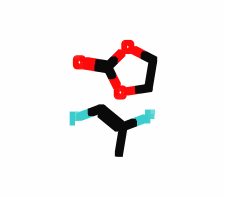 C/C(F)=C\F.O=C1OCCO1